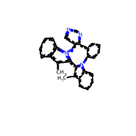 Cc1c2ccccc2n2c3ccccc3c3ncncc3n3c4ccccc4c(C)c3c12